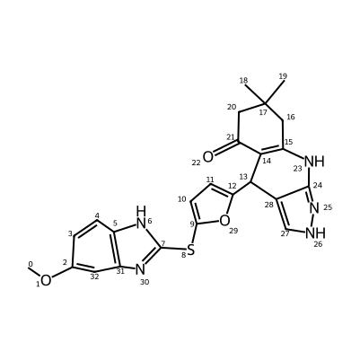 COc1ccc2[nH]c(Sc3ccc(C4C5=C(CC(C)(C)CC5=O)Nc5n[nH]cc54)o3)nc2c1